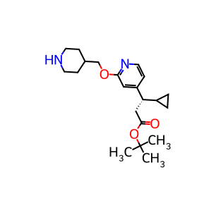 CC(C)(C)OC(=O)C[C@H](c1ccnc(OCC2CCNCC2)c1)C1CC1